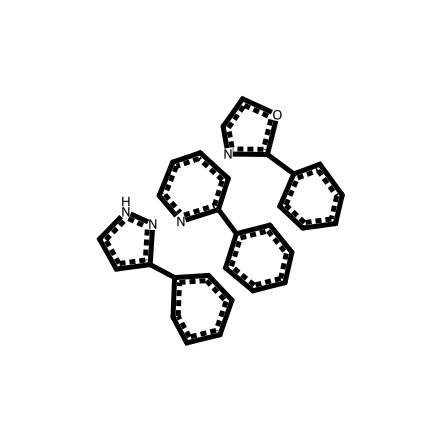 c1ccc(-c2cc[nH]n2)cc1.c1ccc(-c2ccccn2)cc1.c1ccc(-c2ncco2)cc1